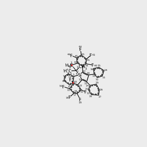 CC(C)(C)[Si]1(c2ccccc2)C(c2c(F)c(F)c(F)c(F)c2F)=C(c2ccccc2)C(c2ccccc2)=C1c1c(F)c(F)c(F)c(F)c1F